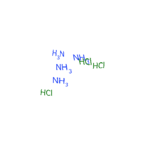 Cl.Cl.Cl.N.N.N.N